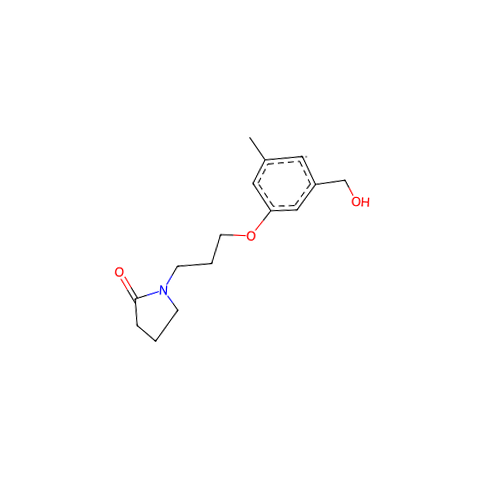 Cc1[c]c(CO)cc(OCCCN2CCCC2=O)c1